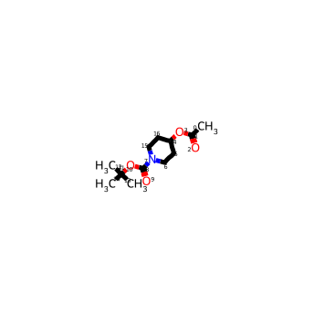 CC(=O)OC1CCN(C(=O)OC(C)(C)C)CC1